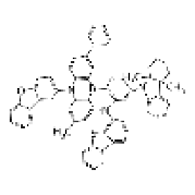 Cc1cc2c3c(c1)N(c1cccc4c1sc1ccccc14)c1cc(N4c5ccccc5C5(C)CCCCC45C)ccc1B3c1cc(-c3ccccc3)ccc1N2c1ccc2oc3ccccc3c2c1